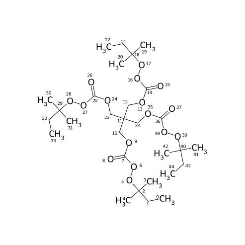 CCC(C)(C)OOC(=O)OCC(COC(=O)OOC(C)(C)CC)(COC(=O)OOC(C)(C)CC)COC(=O)OOC(C)(C)CC